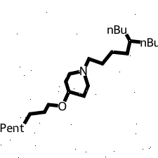 CCCCC(CCCC)CCCCN1CCC(OCCCC(C)CCC)CC1